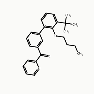 CCCCOc1c(-c2cccc(C(=O)c3ccccn3)c2)cccc1C(C)(C)C